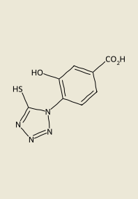 O=C(O)c1ccc(-n2nnnc2S)c(O)c1